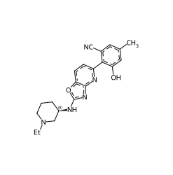 CCN1CCC[C@@H](Nc2nc3nc(-c4c(O)cc(C)cc4C#N)ccc3o2)C1